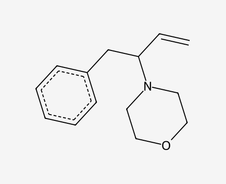 C=CC(Cc1ccccc1)N1CCOCC1